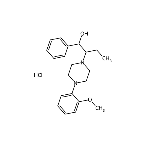 CCC(C(O)c1ccccc1)N1CCN(c2ccccc2OC)CC1.Cl